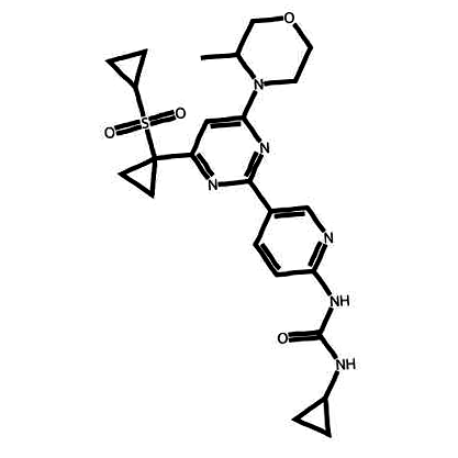 CC1COCCN1c1cc(C2(S(=O)(=O)C3CC3)CC2)nc(-c2ccc(NC(=O)NC3CC3)nc2)n1